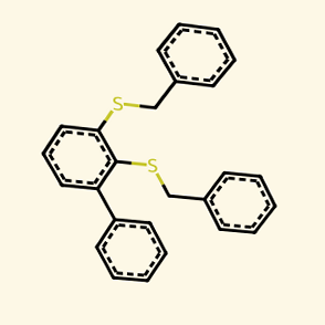 c1ccc(CSc2cccc(-c3ccccc3)c2SCc2ccccc2)cc1